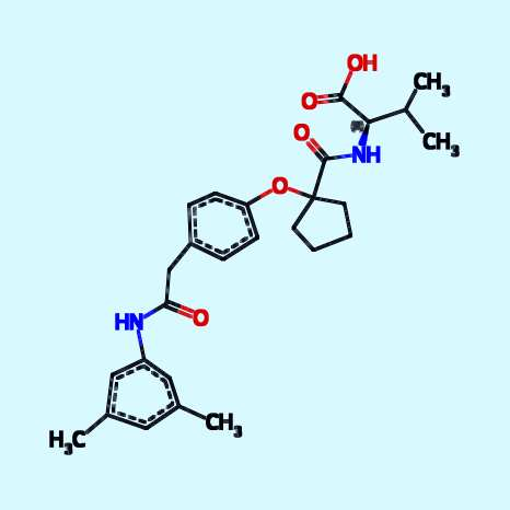 Cc1cc(C)cc(NC(=O)Cc2ccc(OC3(C(=O)N[C@@H](C(=O)O)C(C)C)CCCC3)cc2)c1